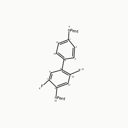 CCCCCc1ccc(-c2cc(F)c(CCCCC)cc2F)cc1